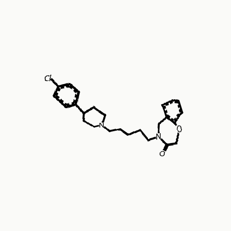 O=C1COc2ccccc2CN1CCCCCN1CCC(c2ccc(Cl)cc2)CC1